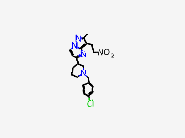 Cc1nn2ccc(C3CCCN(Cc4ccc(Cl)cc4)C3)nc2c1CC[N+](=O)[O-]